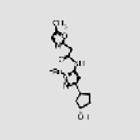 Cc1cnc(CC(=O)Nc2cc([C@H]3CC[C@@H](O)C3)nn2C(C)(C)C)o1